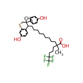 CCC(CCCCCCCCCC1c2ccc(O)cc2SCC1(C)c1ccc(O)cc1)(CCCC(F)(F)C(F)(F)F)C(=O)O